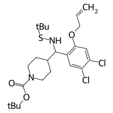 C=CCOc1cc(Cl)c(Cl)cc1C(NSC(C)(C)C)C1CCN(C(=O)OC(C)(C)C)CC1